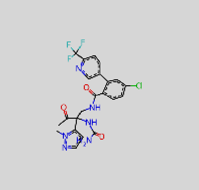 CC(=O)C(CNC(=O)c1ccc(Cl)cc1-c1ccc(C(F)(F)F)nc1)(NC(N)=O)c1ccnn1C